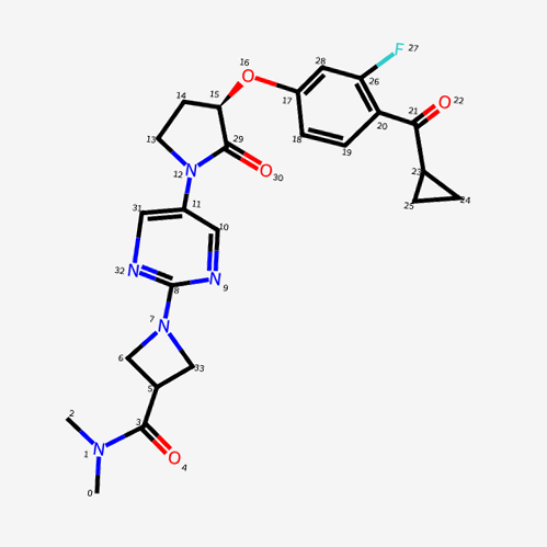 CN(C)C(=O)C1CN(c2ncc(N3CC[C@@H](Oc4ccc(C(=O)C5CC5)c(F)c4)C3=O)cn2)C1